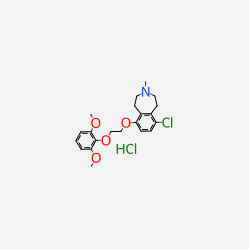 COc1cccc(OC)c1OCCOc1ccc(Cl)c2c1CCN(C)CC2.Cl